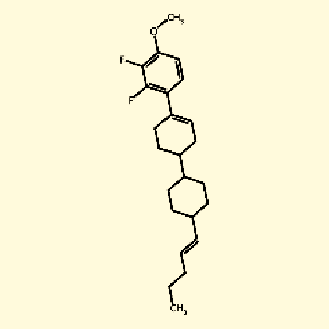 CCC/C=C/C1CCC(C2CC=C(c3ccc(OC)c(F)c3F)CC2)CC1